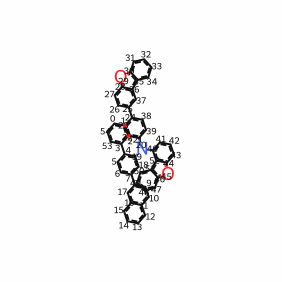 c1ccc(-c2ccc(-c3ccc4ccccc4c3)cc2N(c2ccc(-c3ccc4oc5ccccc5c4c3)cc2)c2cccc3oc4ccccc4c23)cc1